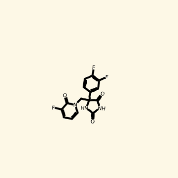 O=C1NC(=O)C(Cn2cccc(F)c2=O)(c2ccc(F)c(F)c2)N1